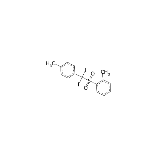 Cc1ccc(C(I)(I)S(=O)(=O)c2ccccc2C)cc1